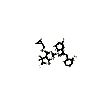 CC1(C)C(=O)Nc2nc(-n3nc(Cc4ccccc4F)c4cc(F)ccc43)nc(NCC3CC3)c21